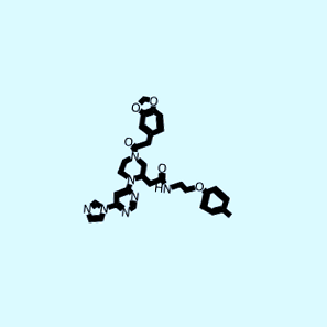 Cc1ccc(OCCNC(=O)CC2CN(C(=O)Cc3ccc4c(c3)OCO4)CCN2c2cc(-n3ccnc3)ncn2)cc1